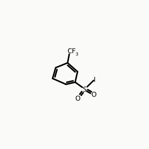 O=S(=O)(I)c1cccc(C(F)(F)F)c1